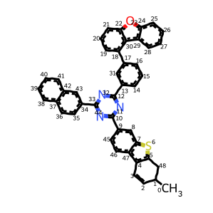 CC1C=Cc2c(sc3cc(-c4nc(-c5cccc(-c6cccc7oc8ccccc8c67)c5)nc(-c5ccc6ccccc6c5)n4)ccc23)C1